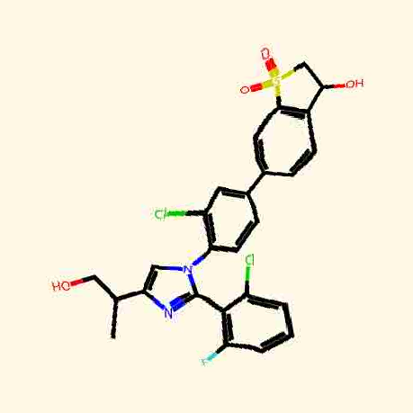 CC(CO)c1cn(-c2ccc(-c3ccc4c(c3)S(=O)(=O)CC4O)cc2Cl)c(-c2c(F)cccc2Cl)n1